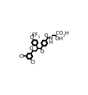 O=C(CC(C(=O)c1ccc(C(=O)NC[C@@H](O)C(=O)O)cc1)c1ccc(OC(F)(F)F)cc1)c1cc(Cl)cc(Cl)c1